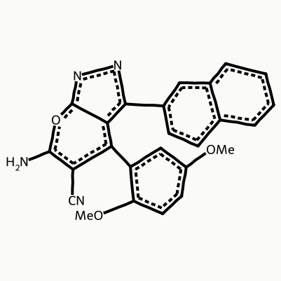 COc1ccc(OC)c(-c2c(C#N)c(N)oc3nnc(-c4ccc5ccccc5c4)c2-3)c1